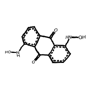 O=C1c2cccc(NO)c2C(=O)c2cccc(NO)c21